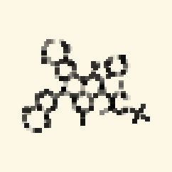 Cc1cc2c3c(c1)N(c1c(C)cc(C(C)(C)C)cc1C)c1c(oc4ccccc14)B3c1cc3c(cc1N2c1ccc2c(c1)OCCCO2)OCCCO3